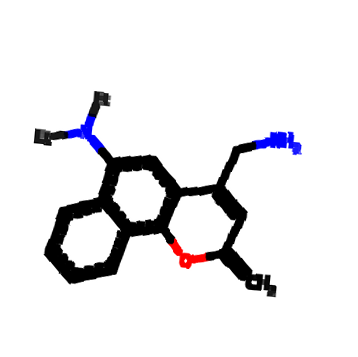 C=C1C=C(CN)c2cc(N(CC)CC)c3ccccc3c2O1